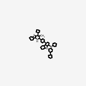 CC1=C(c2ccccc2)c2sc3ccccc3c2NC1c1ccc(-c2ccc(N(c3ccccc3)c3ccc(-c4ccccc4)cc3)c3oc4ccccc4c23)cc1